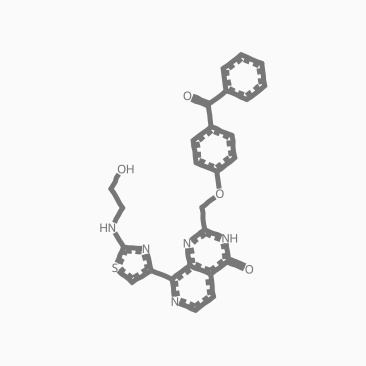 O=C(c1ccccc1)c1ccc(OCc2nc3c(-c4csc(NCCO)n4)nccc3c(=O)[nH]2)cc1